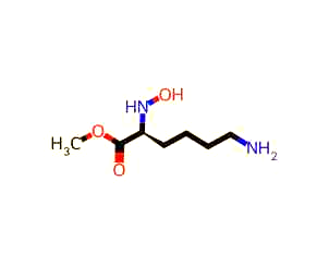 COC(=O)[C@H](CCCCN)NO